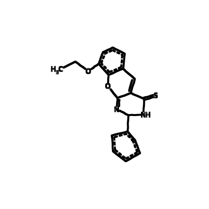 CCOc1cccc2c1OC1=NC(c3ccccc3)NC(=S)C1=C2